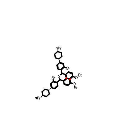 CCC[C@H]1CC[C@H](c2ccc(C(SC(c3ccc(OCC)cc3)c3ccc([C@H]4CC[C@H](CCC)CC4)cc3Br)c3ccc(OCC)cc3)c(Br)c2)CC1